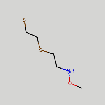 CONCCSCCS